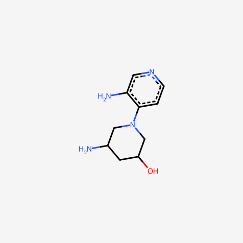 Nc1cnccc1N1CC(N)CC(O)C1